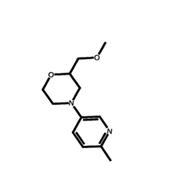 COCC1CN(c2ccc(C)nc2)CCO1